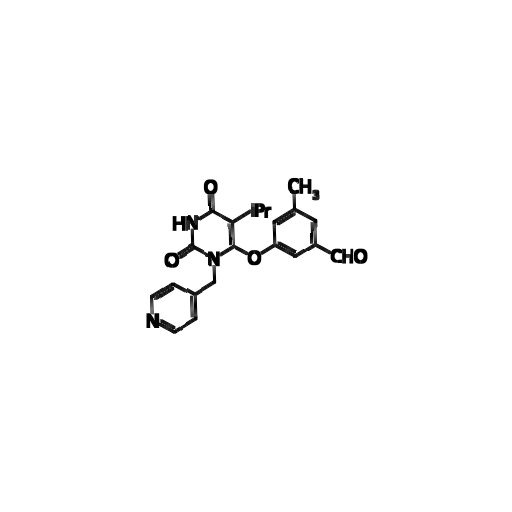 Cc1cc(C=O)cc(Oc2c(C(C)C)c(=O)[nH]c(=O)n2Cc2ccncc2)c1